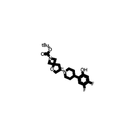 CC(C)(C)OC(=O)N1CC2(C[C@H](N3CCC(c4cc(F)c(F)cc4O)CC3)CO2)C1